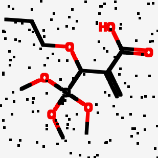 C=C(C(=O)O)C(OCCC)[Si](OC)(OC)OC